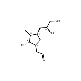 C=CC[C@@H]1O[C@H](C[C@H](O)CO)[C@H](C)[C@H]1CC